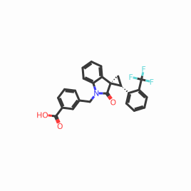 O=C(O)c1cccc(CN2C(=O)[C@@]3(C[C@@H]3c3ccccc3C(F)(F)F)c3ccccc32)c1